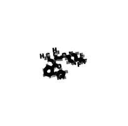 CCN(C(=O)c1ccccc1-n1cccn1)[C@@H](C)COc1cnc(C(F)(F)F)cn1